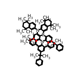 CC(C)(C)c1cc2c3c(c1)N(c1c(-c4ccccc4)cc(C(C)(C)c4ccccc4)cc1-c1ccccc1)c1cc(C(C)(C)c4ccccc4)ccc1B3c1cc3c(cc1N2c1ccc2c(c1)C(C)(C)CCC2(C)C)C(C)(C)CCC3(C)C